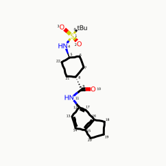 CC(C)(C)S(=O)(=O)N[C@H]1CC[C@H](C(=O)Nc2ccc3c(c2)CCC3)CC1